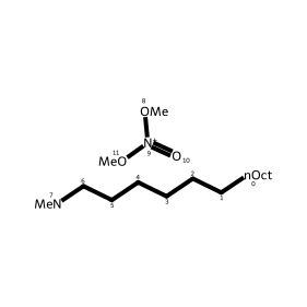 CCCCCCCCCCCCCCNC.CO[N+](=O)OC